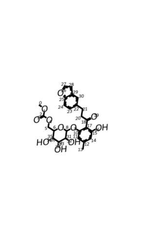 COC(=O)OCC1OC(Oc2cc(C)cc(O)c2C(=O)CCc2ccc3occc3c2)C(O)[C@@H](O)[C@@H]1O